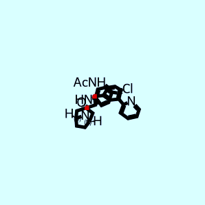 CC(=O)Nc1cc(Cl)c(-c2ccccn2)cc1C=CC(=O)N1[C@@H]2CC[C@H]1C[C@H](Nc1ccc(F)cc1)C2